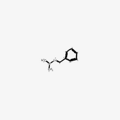 C[N](C)[Lu][CH2]c1ccccc1